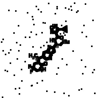 C[C@H](c1cnn2cc([C@H](CC(C)(C)C)NC(=O)c3nonc3C3CC3)nc2c1)N1CC(F)(F)CNC1=O